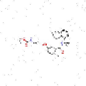 Cc1ccc(OCCCNC(=O)OC(C)(C)C)cc1C(=O)NC1(c2cccc3ccccc23)CC1